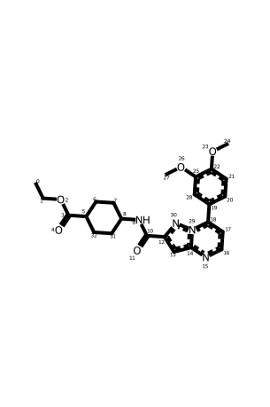 CCOC(=O)C1CCC(NC(=O)c2cc3nccc(-c4ccc(OC)c(OC)c4)n3n2)CC1